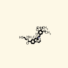 COc1cc(/C=C/C23OCCN2c2ccc(C(=O)NCCS)cc2C3(C)C)cc(OC)c1OC